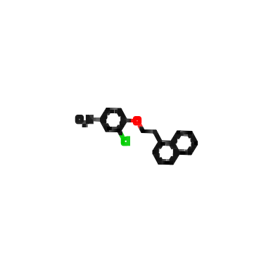 O=[N+]([O-])c1ccc(OCCc2cccc3ccccc23)c(Cl)c1